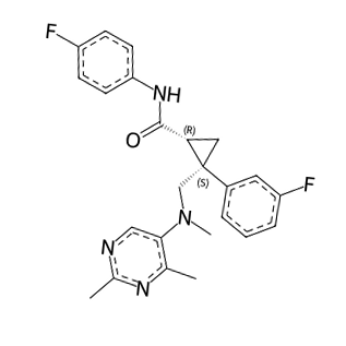 Cc1ncc(N(C)C[C@@]2(c3cccc(F)c3)C[C@H]2C(=O)Nc2ccc(F)cc2)c(C)n1